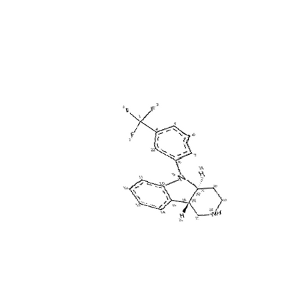 FC(F)(F)c1cccc(N2c3ccccc3[C@H]3CNCC[C@@H]32)c1